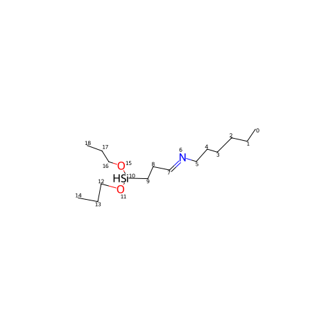 CCCCCCN=CCC[SiH](OCCC)OCCC